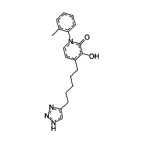 Cc1ccccc1-n1ccc(CCCCCc2c[nH]nn2)c(O)c1=O